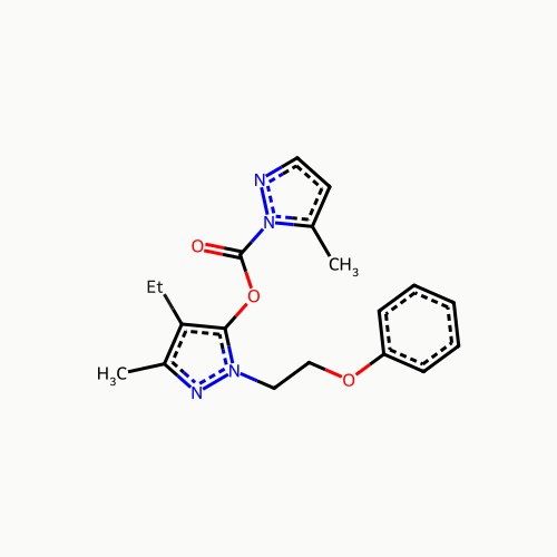 CCc1c(C)nn(CCOc2ccccc2)c1OC(=O)n1nccc1C